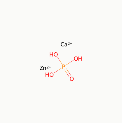 O=P(O)(O)O.[Ca+2].[Zn+2]